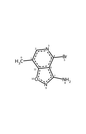 Cc1cnc(Br)c2c(N)noc12